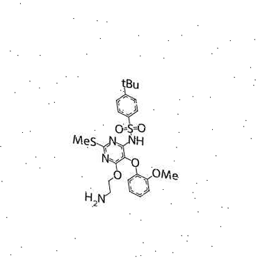 COc1ccccc1Oc1c(NS(=O)(=O)c2ccc(C(C)(C)C)cc2)nc(SC)nc1OCCN